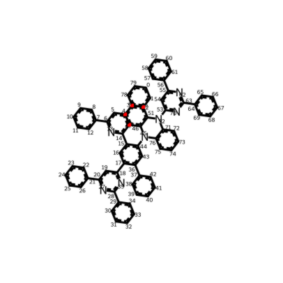 c1ccc(-c2cc(-c3ccccc3)nc(-c3cc(-c4cc(-c5ccccc5)nc(-c5ccccc5)n4)c(-c4ccccc4)cc3N3c4ccccc4N(c4cc(-c5ccccc5)nc(-c5ccccc5)n4)c4ccccc43)c2)cc1